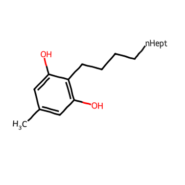 CCCCCCCCCCCc1c(O)cc(C)cc1O